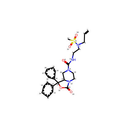 C=CCN(CCNC(=O)N1CCN2C(=O)OC(c3ccccc3)(c3ccccc3)C2C1)S(C)(=O)=O